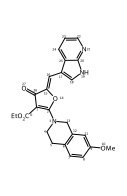 CCOC(=O)C1=C(N2CCc3ccc(OC)cc3C2)OC(=Cc2c[nH]c3ncccc23)C1=O